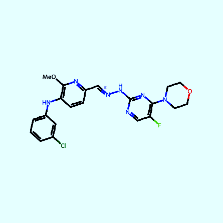 COc1nc(/C=N/Nc2ncc(F)c(N3CCOCC3)n2)ccc1Nc1cccc(Cl)c1